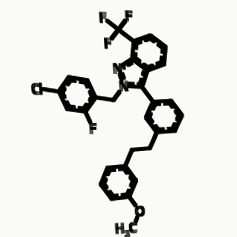 COc1cccc(CCc2cccc(-c3c4cccc(C(F)(F)F)c4nn3Cc3ccc(Cl)cc3F)c2)c1